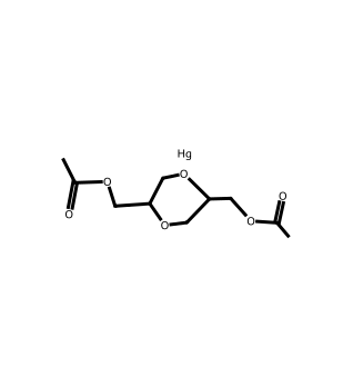 CC(=O)OCC1COC(COC(C)=O)CO1.[Hg]